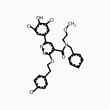 COCCN(Cc1ccccc1)C(=O)c1cc(-c2cc(Cl)c(O)c(Cl)c2)nnc1OCCc1ccc(Cl)cc1